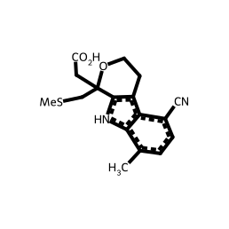 CSCC1(CC(=O)O)OCCc2c1[nH]c1c(C)ccc(C#N)c21